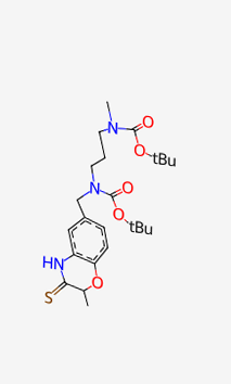 CC1Oc2ccc(CN(CCCN(C)C(=O)OC(C)(C)C)C(=O)OC(C)(C)C)cc2NC1=S